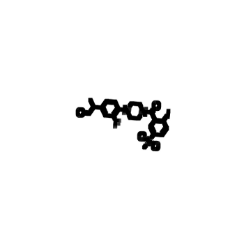 CC(C=O)c1ccc(N2CCN(C(=O)c3cc(S(C)(=O)=O)ccc3I)CC2)c(F)c1